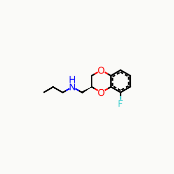 CCCNC[C@H]1COc2cccc(F)c2O1